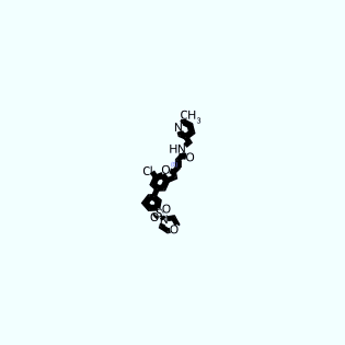 Cc1ccc(CNC(=O)/C=C/C2Cc3cc(-c4cccc(S(=O)(=O)N5CCOCC5)c4)cc(Cl)c3O2)cn1